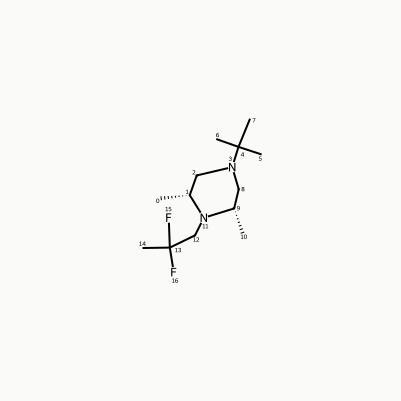 C[C@@H]1CN(C(C)(C)C)C[C@H](C)N1CC(C)(F)F